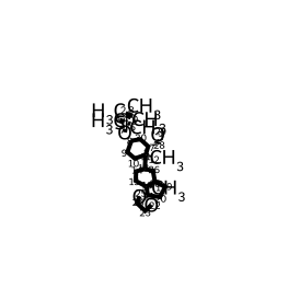 CC(C)(C)[Si](C)(C)OC1CC[C@](C)(C2CC[C@@]3(C)C(CCC34OCCO4)C2)[C@@H](C=O)C1